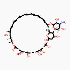 C[C@@H]1[C@H](O)[C@@H](C)/C=C/C=C/C=C/C=C/C=C/C=C/C=C/C(OC2O[C@H](C)[C@@H](O)[C@H](N)[C@H]2O)C[C@@H]2O[C@](O)(C[C@@H](O)C[C@@H](O)[C@H](O)CC[C@@H](O)C[C@@H](O)CC(=O)O[C@H]1C)C[C@H](O)C2C(=O)O